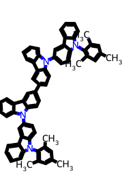 Cc1cc(C)c(-n2c3ccccc3c3cc(-n4c5ccccc5c5cc(-c6ccc7c(c6)c6ccccc6n7-c6ccc7c(c6)c6ccccc6n7-c6c(C)cc(C)cc6C)ccc54)ccc32)c(C)c1